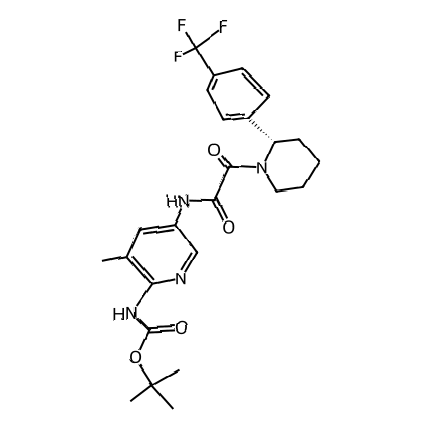 Cc1cc(NC(=O)C(=O)N2CCCC[C@H]2c2ccc(C(F)(F)F)cc2)cnc1NC(=O)OC(C)(C)C